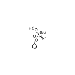 C[SiH](C)OC=C(C(=[N+]=[N-])C(=O)OCc1ccccc1)C(C)(C)C